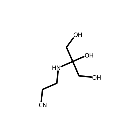 N#CCCNC(O)(CO)CO